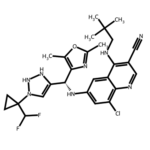 Cc1nc([C@H](Nc2cc(Cl)c3ncc(C#N)c(NCC(C)(C)C)c3c2)C2=CN(C3(C(F)F)CC3)NN2)c(C)o1